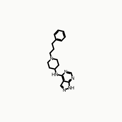 c1ccc(CCCN2CCC(Nc3ncnc4[nH]ncc34)CC2)cc1